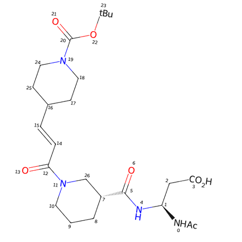 CC(=O)N[C@H](CC(=O)O)NC(=O)[C@@H]1CCCN(C(=O)/C=C/C2CCN(C(=O)OC(C)(C)C)CC2)C1